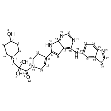 CC(C)(CN1CCC(O)CC1)C(=O)N1CC=C(c2cc3c(Nc4ccc5ncsc5c4)ncnc3[nH]2)CC1